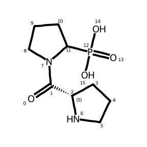 O=C([C@@H]1CCCN1)N1CCCC1P(=O)(O)O